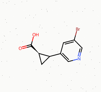 O=C(O)[C@@H]1CC1c1cncc(Br)c1